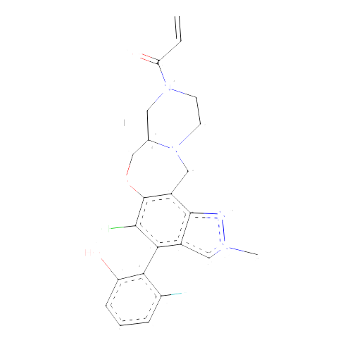 C=CC(=O)N1CCN2Cc3c(c(Cl)c(-c4c(O)cccc4F)c4cn(C)nc34)OC[C@H]2C1